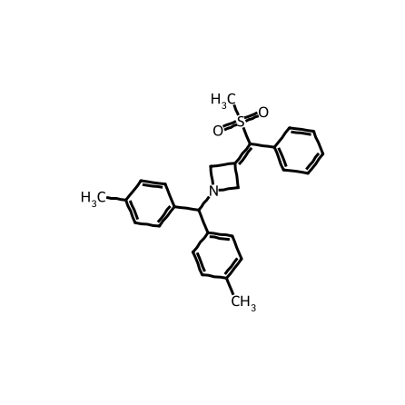 Cc1ccc(C(c2ccc(C)cc2)N2CC(=C(c3ccccc3)S(C)(=O)=O)C2)cc1